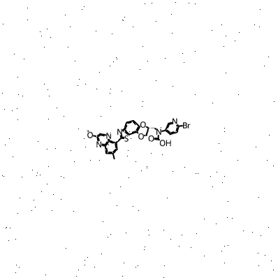 COc1cnc2c(-c3nc4ccc5c(c4s3)OC[C@@H](CN(C(=O)O)c3ccc(Br)nc3)O5)cc(C)cc2n1